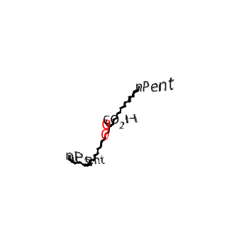 CCCCCC=CCC=CCCCCCCCCC(COCCCCCCCC/C=C\C/C=C\CCCCC)OC(=O)O